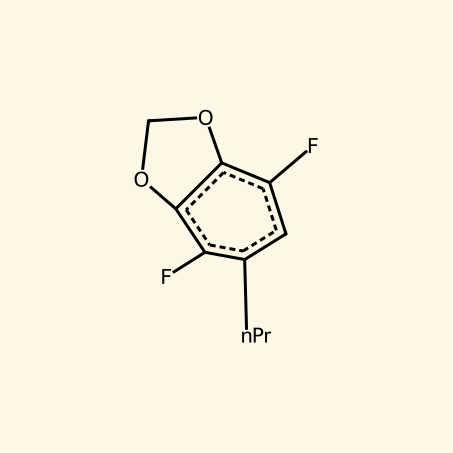 CCCc1cc(F)c2c(c1F)OCO2